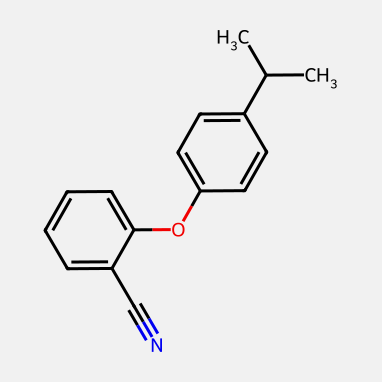 CC(C)c1ccc(Oc2ccccc2C#N)cc1